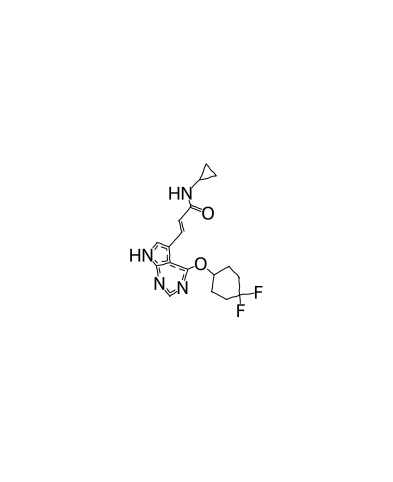 O=C(C=Cc1c[nH]c2ncnc(OC3CCC(F)(F)CC3)c12)NC1CC1